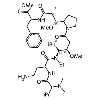 CC[C@H](C)[C@@H]([C@@H](CC(=O)N1CCCC1[C@H](OC)[C@@H](C)C(=O)NC(Cc1ccccc1)C(=O)OC)OC)N(CC)C(=O)C(CCN)NC(=O)C(C(C)C)N(C)C